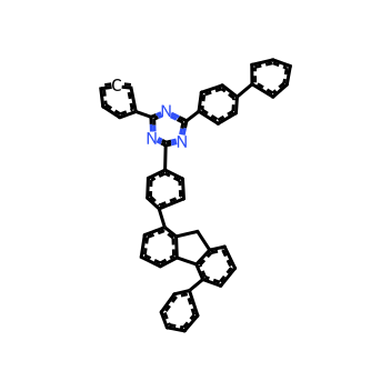 c1ccc(-c2ccc(-c3nc(-c4ccccc4)nc(-c4ccc(-c5cccc6c5Cc5cccc(-c7ccccc7)c5-6)cc4)n3)cc2)cc1